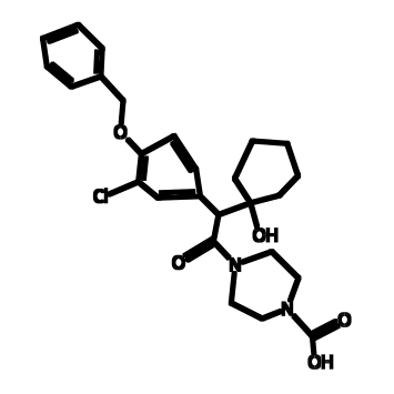 O=C(O)N1CCN(C(=O)C(c2ccc(OCc3ccccc3)c(Cl)c2)C2(O)CCCCC2)CC1